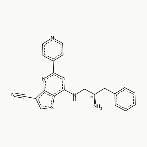 N#Cc1csc2c(NC[C@H](N)Cc3ccccc3)nc(-c3ccncc3)nc12